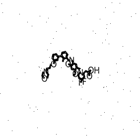 COc1cc2oc(-c3cccc(-c4cccc(OCCCN5CCOCC5)c4)c3C)nc2cc1CN1CCC(F)(F)CC1CC(=O)O